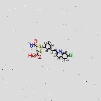 CN(C)C(=O)CSC(SCC(=O)O)c1cccc(/C=C/c2ccc3ccc(Cl)cc3n2)c1